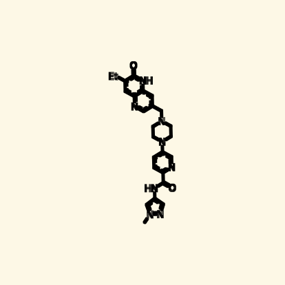 CCc1cc2ncc(CN3CCN(c4ccc(C(=O)Nc5cnn(C)c5)nc4)CC3)cc2[nH]c1=O